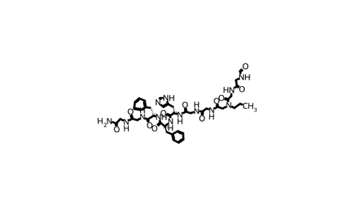 CCCN(CC(=O)NCC(=O)NCC(=O)N[C@@H](Cc1cnc[nH]1)C(=O)N[C@@H](Cc1ccccc1)C(=O)N[C@@H](Cc1ccccc1)C(=O)NCC(=O)NCC(N)=O)C(=O)CNC(=O)CNC=O